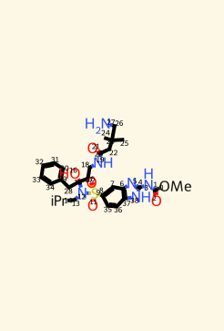 COC(=O)Nc1nc2cc(S(=O)(=O)N(CC(C)C)C(O)(CCNC(=O)CC(C)(C)CN)Cc3ccccc3)ccc2[nH]1